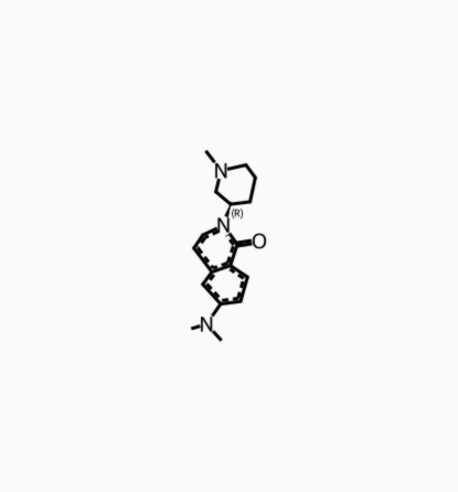 CN1CCC[C@@H](n2ccc3cc(N(C)C)ccc3c2=O)C1